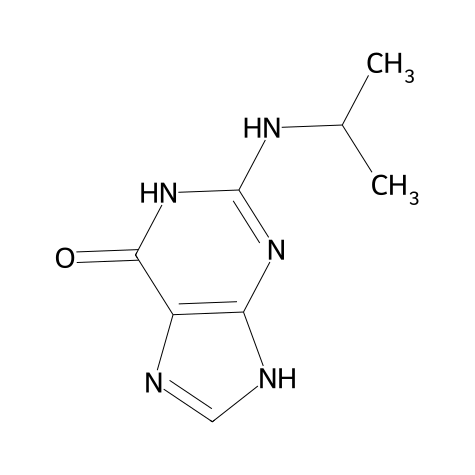 CC(C)Nc1nc2[nH]cnc2c(=O)[nH]1